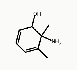 CC1=CC=CC(O)C1(C)N